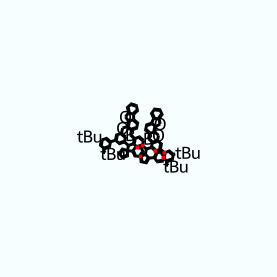 CC(C)(C)c1cc(-c2cc3c4c(c2)C(C2C=CC=C2c2ccccc2)c2cc5c(cc2B4c2ccc4c(oc6ccccc64)c2O3)B2c3ccc4c(oc6ccccc64)c3Oc3cc(-c4cc(C(C)(C)C)cc(C(C)(C)C)c4)cc(c32)C5C2(c3ccccc3)C=CC=C2)cc(C(C)(C)C)c1